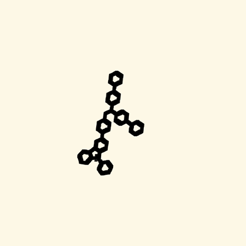 c1ccc(-c2ccc(C(Cc3ccc(-c4ccc5c(c4)c4ccccc4n5-c4ccccc4)cc3)c3ccc(-c4ccccc4)cc3)cc2)cc1